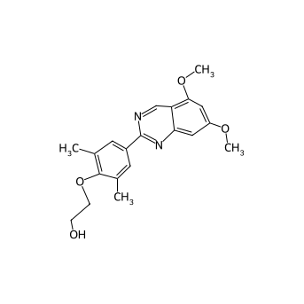 COc1cc(OC)c2cnc(-c3cc(C)c(OCCO)c(C)c3)nc2c1